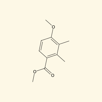 COC(=O)c1ccc(OC)c(C)c1C